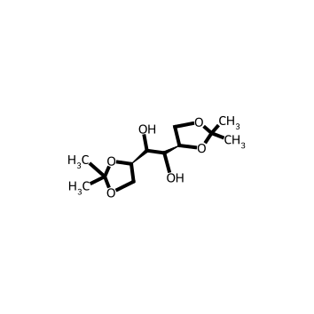 CC1(C)OC[C@H](C(O)C(O)[C@H]2COC(C)(C)O2)O1